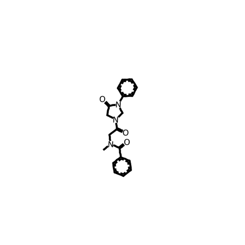 CN(CC(=O)N1CC(=O)N(c2ccccc2)C1)C(=O)c1ccccc1